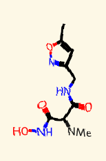 CNC(C(=O)NO)C(=O)NCc1cc(C)on1